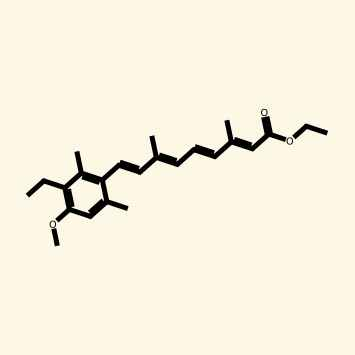 CCOC(=O)/C=C(C)/C=C/C=C(C)/C=C/c1c(C)cc(OC)c(CC)c1C